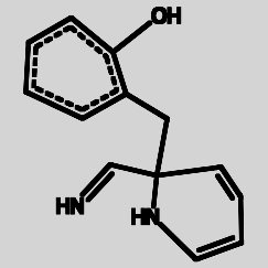 N=CC1(Cc2ccccc2O)C=CC=CN1